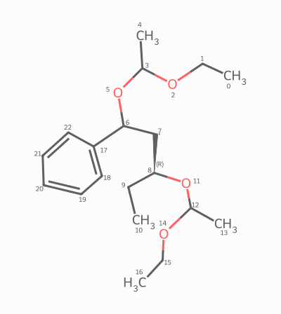 CCOC(C)OC([CH][C@H](CC)OC(C)OCC)c1ccccc1